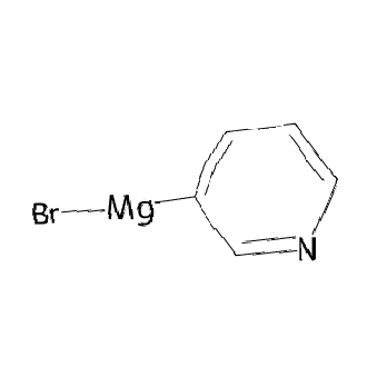 [Br][Mg][c]1cccnc1